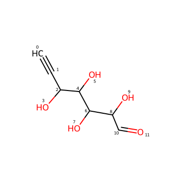 C#CC(O)C(O)C(O)C(O)C=O